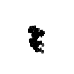 CCOC(=O)[C@H]1CCCN(C(=O)N2C[C@@H](N(Cc3cc(C(F)(F)F)cc(C(F)(F)F)c3)c3ncc(-c4cnn(C)c4)cn3)C[C@H]2CC)C1